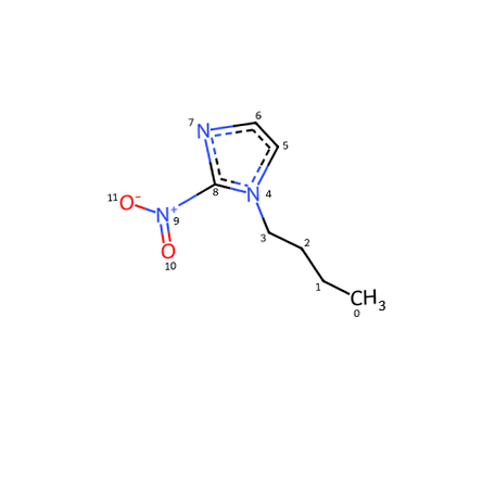 CCCCn1ccnc1[N+](=O)[O-]